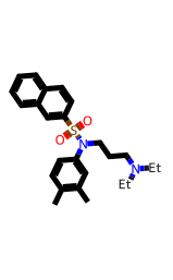 CCN(CC)CCCN(c1ccc(C)c(C)c1)S(=O)(=O)c1ccc2ccccc2c1